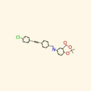 CC1(C)OC(=O)c2cc(N=Cc3ccc(C#Cc4ccc(Cl)cc4)cc3)ccc2O1